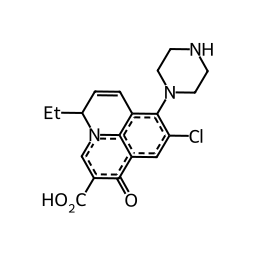 CCC1C=Cc2c(N3CCNCC3)c(Cl)cc3c(=O)c(C(=O)O)cn1c23